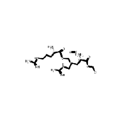 C=O.N=C(N)NCCC[C@H](N)C(=O)OCCl.N=C(N)NCCC[C@H](N)C(=O)OCCl